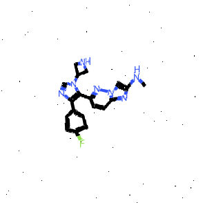 CNc1cn2nc(-c3c(-c4ccc(F)cc4)ncn3C3CNC3)ccc2n1